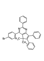 CC1(C)C(c2ccccc2)=C(c2ccccc2)c2nc(-c3ccccc3)nc(-c3ccc(Br)cc3)c21